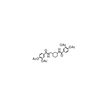 CC(=O)Oc1ccc(C(=O)NCC2CCCC(NC(=O)c3ccc(OC(C)=O)c(OC(C)=O)c3)C2)cc1OC(C)=O